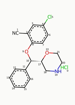 Cl.N#Cc1cc(Cl)ccc1OC(c1ccccc1)[C@H]1CNCCO1